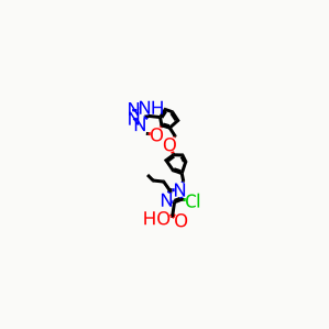 CCCc1nc(C(=O)O)c(Cl)n1Cc1ccc(OCc2cccc(-c3nnn[nH]3)c2OC)cc1